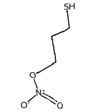 O=[N+]([O-])OCCCS